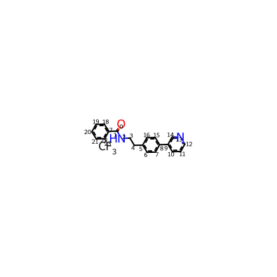 O=C(NCCc1ccc(-c2cccnc2)cc1)c1ccccc1C(F)(F)F